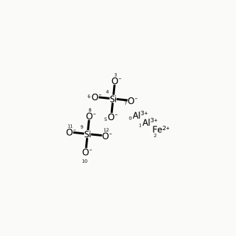 [Al+3].[Al+3].[Fe+2].[O-][Si]([O-])([O-])[O-].[O-][Si]([O-])([O-])[O-]